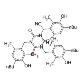 CCCCc1cc(C)c(Cn2c(=O)n(Cc3c(C)cc(CCCC)c(O)c3C)c(=O)n(C(C#N)c3c(C)cc(CCCC)c(O)c3C)c2=O)c(C)c1O